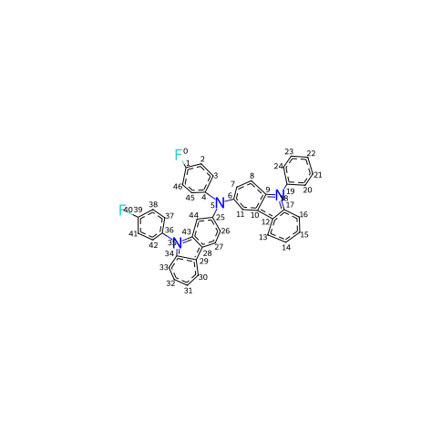 Fc1ccc(N(c2ccc3c(c2)c2ccccc2n3-c2ccccc2)c2ccc3c4ccccc4n(-c4ccc(F)cc4)c3c2)cc1